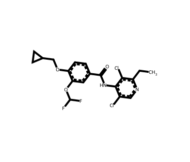 CCc1ncc(Cl)c(NC(=O)c2ccc(OCC3CC3)c(OC(F)F)c2)c1Cl